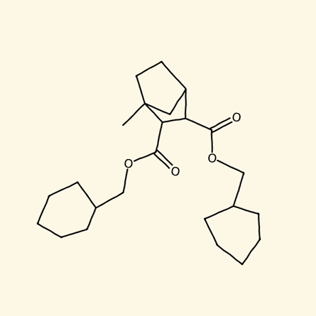 CC12CCC(C1)C(C(=O)OCC1CCCCC1)C2C(=O)OCC1CCCCC1